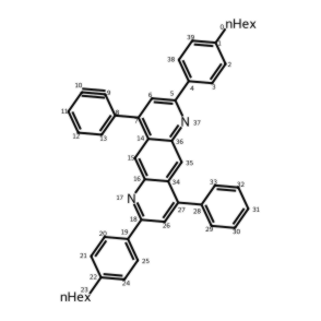 CCCCCCc1ccc(-c2cc(-c3c#cccc3)c3cc4nc(-c5ccc(CCCCCC)cc5)cc(-c5ccccc5)c4cc3n2)cc1